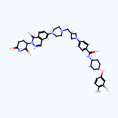 N#Cc1ccc(O[C@H]2CC[C@H](NC(=O)c3ccc(N4CC(CN5CCN(c6ccc7c(=O)n(C8CCC(=O)NC8=O)ncc7c6)CC5)C4)cc3)CC2)cc1Cl